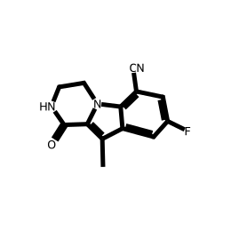 Cc1c2n(c3c(C#N)cc(F)cc13)CCNC2=O